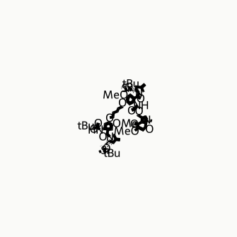 C=C1C[C@@H](CO[Si](C)(C)C(C)(C)C)N(C(=O)c2cc(OC)c(OCCCCCOc3cc(NC(=O)OC(C)(C)C)c(C(=O)N4CC(=C)C[C@H]4CO[Si](C)(C)C(C)(C)C)cc3OC)cc2NC(=O)OCc2cn(C)c3c2C(=O)C(OC)=CC3=O)C1